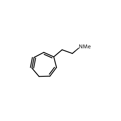 CNCCC1=CC#CCC=C1